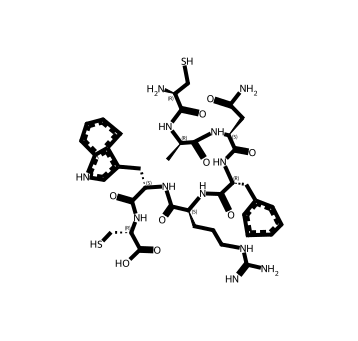 C[C@@H](NC(=O)[C@@H](N)CS)C(=O)N[C@@H](CC(N)=O)C(=O)N[C@H](Cc1ccccc1)C(=O)N[C@@H](CCCNC(=N)N)C(=O)N[C@@H](Cc1c[nH]c2ccccc12)C(=O)N[C@@H](CS)C(=O)O